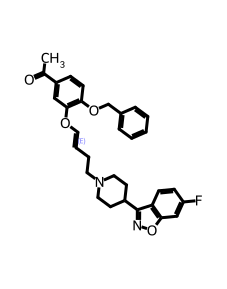 CC(=O)c1ccc(OCc2ccccc2)c(O/C=C/CCN2CCC(c3noc4cc(F)ccc34)CC2)c1